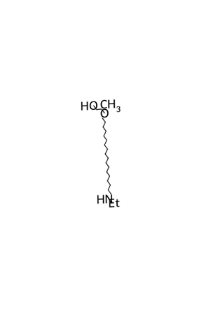 CCNCCCCCCCCCCCCCCCCCCOC(C)CO